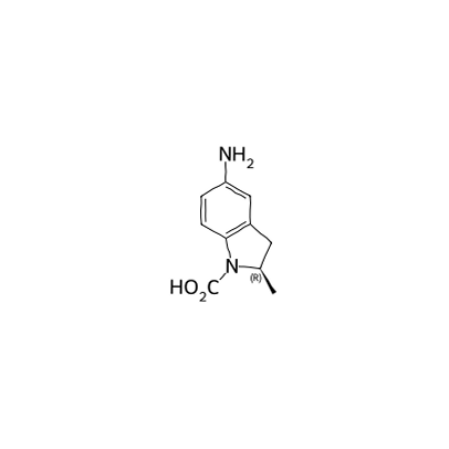 C[C@@H]1Cc2cc(N)ccc2N1C(=O)O